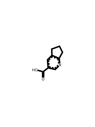 O=C(O)c1cnc2c(c1)CCC2